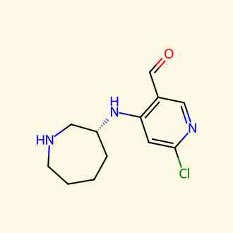 O=Cc1cnc(Cl)cc1N[C@@H]1CCCCNC1